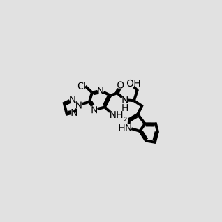 Nc1nc(-n2nccn2)c(Cl)nc1C(=O)NC(CO)Cc1c[nH]c2ccccc12